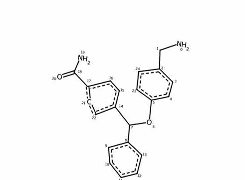 NCc1ccc(OC(c2ccccc2)c2ccc(C(N)=O)cc2)cc1